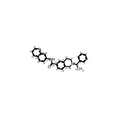 CC(c1ccccc1)N1CCc2cc(C(=O)Nc3ccc4cccnc4c3)ccc2C1